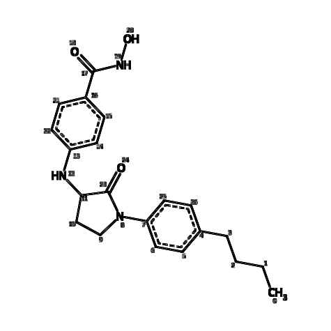 CCCCc1ccc(N2CCC(Nc3ccc(C(=O)NO)cc3)C2=O)cc1